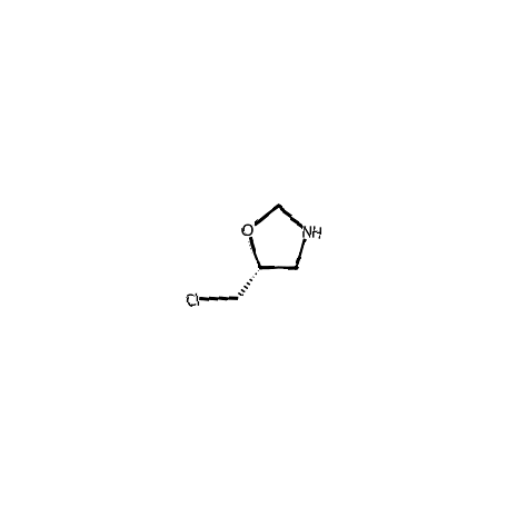 ClC[C@H]1CNCO1